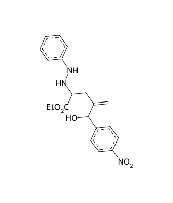 C=C(CC(NNc1ccccc1)C(=O)OCC)C(O)c1ccc([N+](=O)[O-])cc1